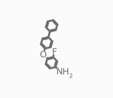 Nc1ccc(Oc2ccc(-c3ccccc3)cc2)c(F)c1